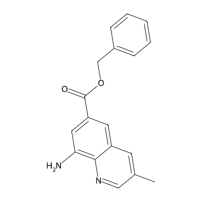 Cc1cnc2c(N)cc(C(=O)OCc3ccccc3)cc2c1